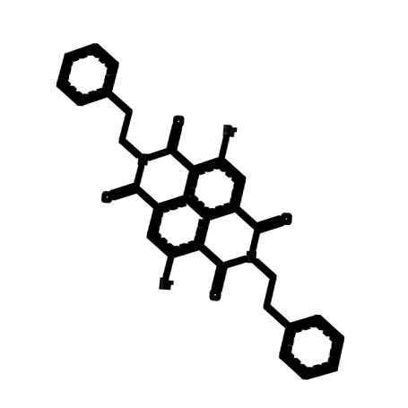 O=C1c2cc(Br)c3c4c(cc(Br)c(c24)C(=O)N1CCc1ccccc1)C(=O)N(CCc1ccccc1)C3=O